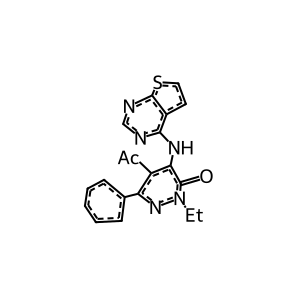 CCn1nc(-c2ccccc2)c(C(C)=O)c(Nc2ncnc3sccc23)c1=O